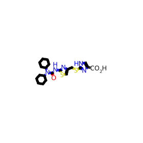 O=C(O)c1c[nH]c(SCc2csc(NC(=O)N(C3CCCCC3)C3CCCCC3)n2)n1